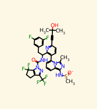 Cc1nc(N[S+](C)[O-])c2cccc(-c3ccc(C#CC(C)(C)O)nc3C(Cc3cc(F)cc(F)c3)NC(=O)n3nc(C(F)(F)F)c4c3C(F)(F)CC4)n12